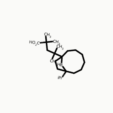 CC(C)C12BC(C(C)(C)CC(C)(C)C(=O)O)(CCCCCC1)CC2